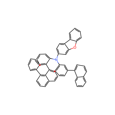 c1ccc(-c2cccc3cccc(-c4ccccc4N(c4cccc(-c5cccc6ccccc56)c4)c4ccc5c(c4)oc4ccccc45)c23)cc1